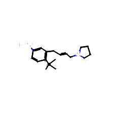 CC(C)(C)c1ccc(N)cc1CC=CCN1CCCC1